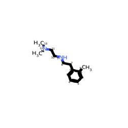 Cc1ccccc1CCNCCN(C)C